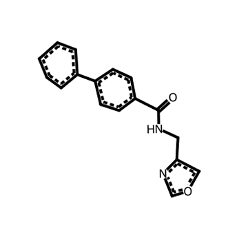 O=C(NCc1cocn1)c1ccc(-c2ccccc2)cc1